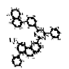 Cc1cc(-c2ccccc2)c2ccc3ccc(-c4nc(-c5ccccc5)nc(-c5cccc(-c6cccc7ccccc67)c5)n4)nc3c2n1